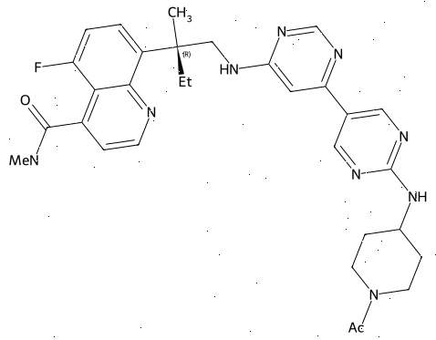 CC[C@@](C)(CNc1cc(-c2cnc(NC3CCN(C(C)=O)CC3)nc2)ncn1)c1ccc(F)c2c(C(=O)NC)ccnc12